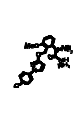 COc1cccc(N(N)C(=O)NN)c1COc1ccn(-c2ccc(Cl)cc2)n1